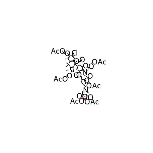 CC(=O)OCOC(=O)CN(CCOCCOc1cc2c(cc1N(CC(=O)OCOC(C)=O)CC(=O)OCOC(C)=O)C(=O)OC21c2cc(Cl)c(OCOC(C)=O)c(C)c2C(C)(C)c2c1cc(Cl)c(OCOC(C)=O)c2C)CC(=O)OCOC(C)=O